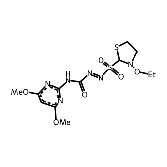 CCON1CCSC1S(=O)(=O)N=NC(=O)Nc1nc(OC)cc(OC)n1